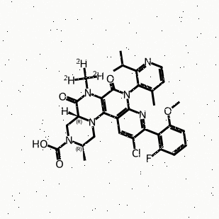 [2H]C([2H])([2H])N1C(=O)[C@H]2CN(C(=O)O)[C@H](C)CN2c2c1c(=O)n(-c1c(C)ccnc1C(C)C)c1nc(-c3c(F)cccc3OC)c(Cl)cc21